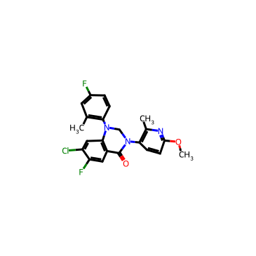 COc1ccc(N2CN(c3ccc(F)cc3C)c3cc(Cl)c(F)cc3C2=O)c(C)n1